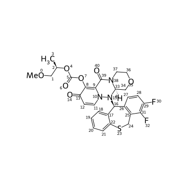 COC[C@@H](C)OC(=O)Oc1c2n(ccc1=O)N([C@@H]1c3ccccc3SCc3c1ccc(F)c3F)[C@@H]1COCCN1C2=O